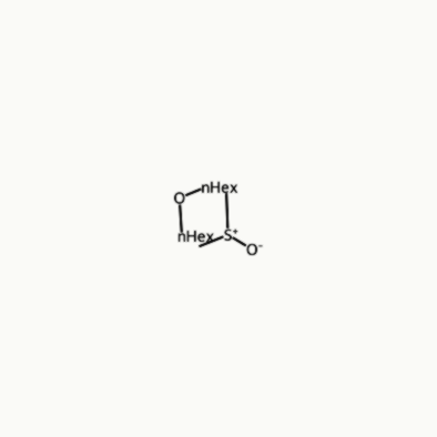 CCCCCCOCCCCCC.C[S+](C)[O-]